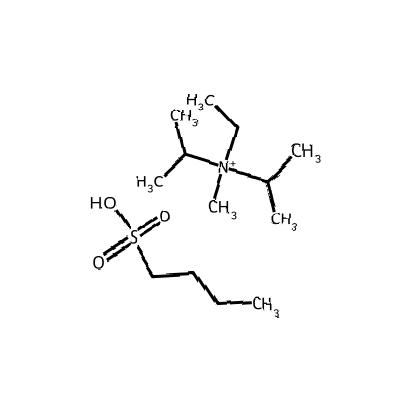 CCCCS(=O)(=O)O.CC[N+](C)(C(C)C)C(C)C